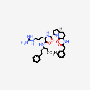 N=C(N)NCCC[C@H](NC(=O)[C@@H]1CC[C@H]2CCC(NC(=O)Cc3ccccc3)C(=O)N21)C(=O)N[C@H](CCc1ccccc1)CC(=O)O